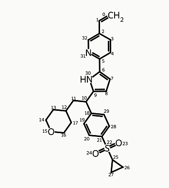 C=Cc1ccc(-c2ccc(C(CC3CCOCC3)c3ccc(S(=O)(=O)C4CC4)cc3)[nH]2)nc1